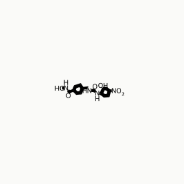 O=C(NCc1ccc(C(=O)NO)cc1)Nc1ccc([N+](=O)[O-])cc1O